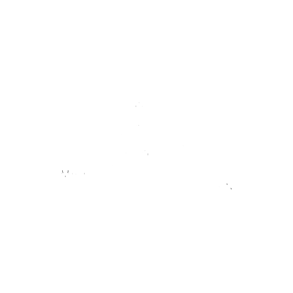 COc1ccc2c(c1)O/C(=C\c1ccc(C#N)cc1)C2=O